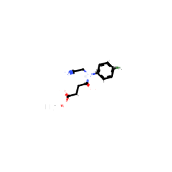 COC(=O)CCC(=O)N(CC#N)c1ccc(Cl)cc1